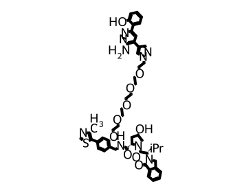 Cc1ncsc1-c1ccc(CNC(=O)[C@@H]2C[C@@H](O)CN2C(=O)[C@H](C(C)C)N2Cc3ccccc3C2=O)c(OCCOCCOCCOCCOCCn2cc(-c3cc(-c4ccccc4O)nnc3N)cn2)c1